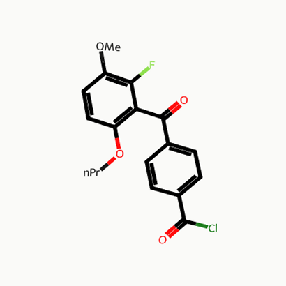 CCCOc1ccc(OC)c(F)c1C(=O)c1ccc(C(=O)Cl)cc1